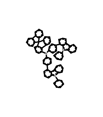 c1ccc(-n2c3ccccc3c3c(-c4ccc(N(c5ccc(-c6cccc7c8ccccc8n(-c8ccccc8)c67)cc5)c5cccc6c5-c5ccccc5C65c6ccccc6-c6ccccc65)cc4)cccc32)cc1